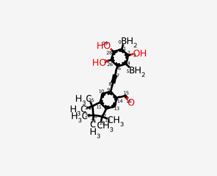 Bc1c(O)c(B)c(C#Cc2cc3c(cc2C=O)C(C)(C)C(C)(C)C3(C)C)c(O)c1O